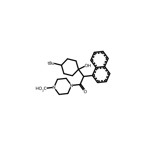 CC(C)(C)C1CCC(O)(C(C(=O)N2CCN(C(=O)O)CC2)c2cccc3ccccc23)CC1